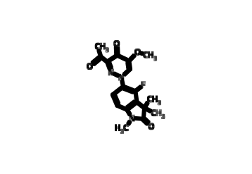 COc1cn(-c2ccc3c(c2F)C(C)(C)C(=O)N3C)nc(C(C)=O)c1=O